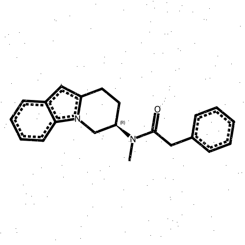 CN(C(=O)Cc1ccccc1)[C@@H]1CCc2[c]c3ccccc3n2C1